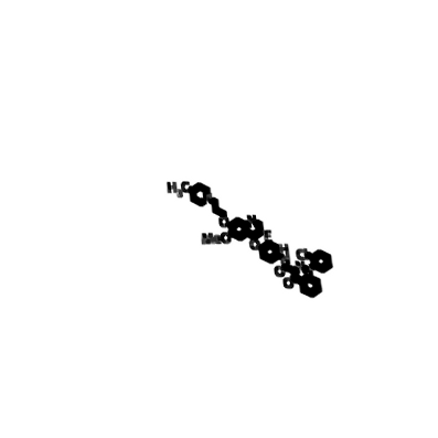 COc1cc2c(Oc3ccc(NC(=O)c4nn(-c5ccccc5Cl)c5ccccc5c4=O)cc3F)ccnc2cc1OCCCN1CCC(C)CC1